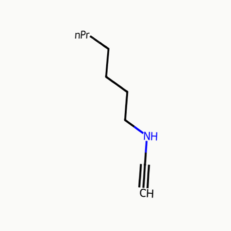 C#CNCCCCCCC